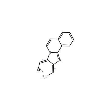 C/C=c1/nc2c3ccccc3ccn2/c1=C/C